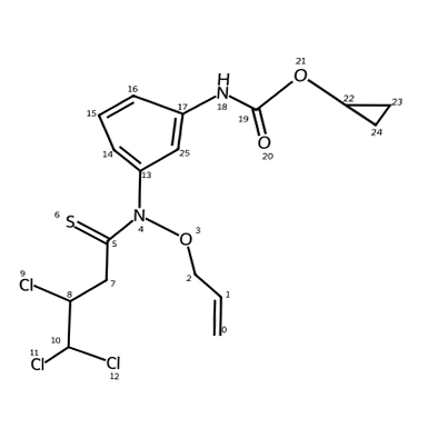 C=CCON(C(=S)CC(Cl)C(Cl)Cl)c1cccc(NC(=O)OC2CC2)c1